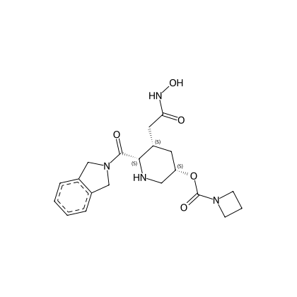 O=C(C[C@@H]1C[C@H](OC(=O)N2CCC2)CN[C@@H]1C(=O)N1Cc2ccccc2C1)NO